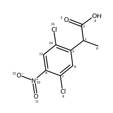 CC(C(=O)O)c1cc(Cl)c([N+](=O)[O-])cc1Cl